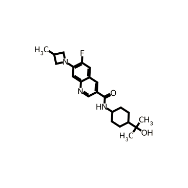 CC1CN(c2cc3ncc(C(=O)NC4CCC(C(C)(C)O)CC4)cc3cc2F)C1